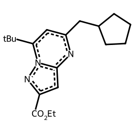 CCOC(=O)c1cc2nc(CC3CCCC3)cc(C(C)(C)C)n2n1